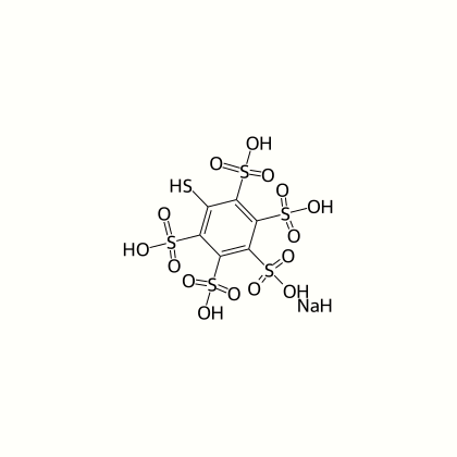 O=S(=O)(O)c1c(S)c(S(=O)(=O)O)c(S(=O)(=O)O)c(S(=O)(=O)O)c1S(=O)(=O)O.[NaH]